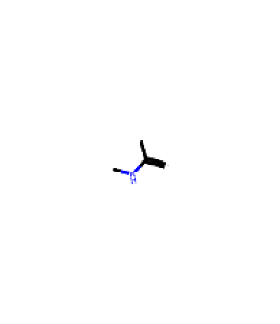 [CH]=C(C)NC